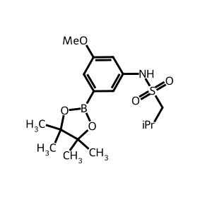 COc1cc(NS(=O)(=O)CC(C)C)cc(B2OC(C)(C)C(C)(C)O2)c1